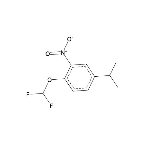 C[C](C)c1ccc(OC(F)F)c([N+](=O)[O-])c1